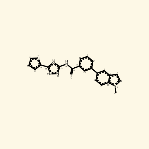 Cn1ccc2cc(-c3cccc(C(=O)Nc4nnc(-c5ccco5)o4)c3)ccc21